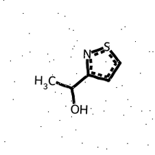 CC(O)c1ccsn1